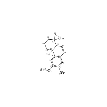 CCOc1cc2c(cc1C(C)C)C=CC1[C@]3(CCC[C@]21C)CO3